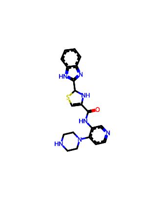 O=C(Nc1cnccc1N1CCNCC1)C1=CSC(c2nc3ccccc3[nH]2)N1